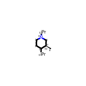 CC(C)C1CCN(C(C)C)C[C@H]1C